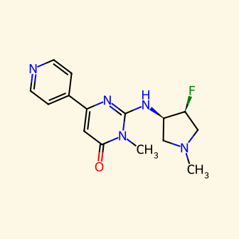 CN1C[C@H](F)[C@H](Nc2nc(-c3ccncc3)cc(=O)n2C)C1